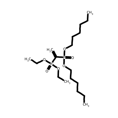 C=C(P(=O)(OCC)OCC)P(=O)(OCCCCCC)OCCCCCC